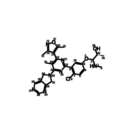 CNC(Oc1ccc(Cl)c(-c2nc(-c3c(C)noc3C)c(C)c(N3Cc4cncnc4C3)n2)c1)[C@@H](C)O